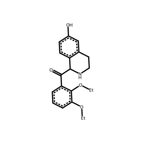 CCOc1cccc(C(=O)C2NCCc3cc(O)ccc32)c1OCC